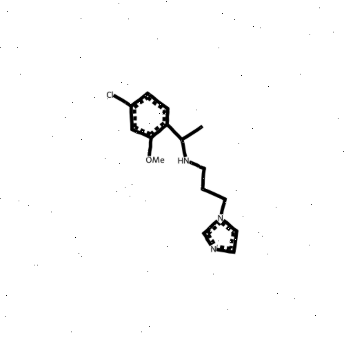 COc1cc(Cl)ccc1C(C)NCCCn1ccnc1